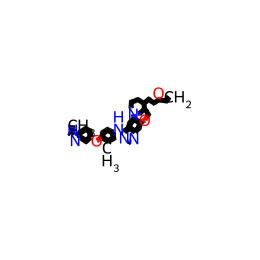 C=CC(=O)CCC1CCCN2CC1COc1cc3ncnc(Nc4ccc(Oc5ccc6c(c5)ncn6C)c(C)c4)c3cc12